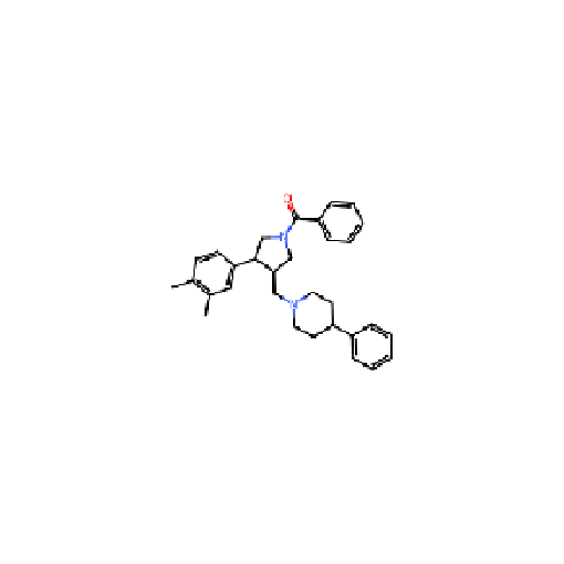 Cc1ccc(C2CN(C(=O)c3ccccc3)CC2CN2CCC(c3ccccc3)CC2)cc1C